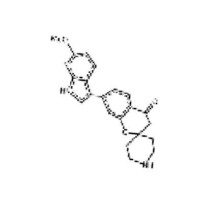 COc1ccc2c(-c3ccc4c(c3)OC3(CCNCC3)CC4=O)c[nH]c2n1